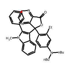 CCCCN(CCCC)c1ccc(C2(c3c(-c4ccccc4)n(C)c4ccccc34)OC(=O)c3nccnc32)c(CC)c1